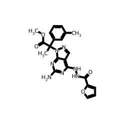 COC(=O)C(C)(c1cccc(C)c1)n1ncc2c(NNC(=O)c3ccco3)nc(N)nc21